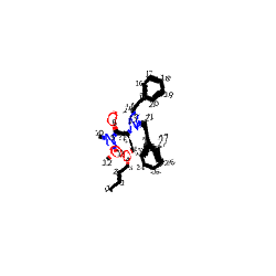 CCCCOC[C@@H](C(=O)N(C)OC)N(Cc1ccccc1)Cc1ccccc1